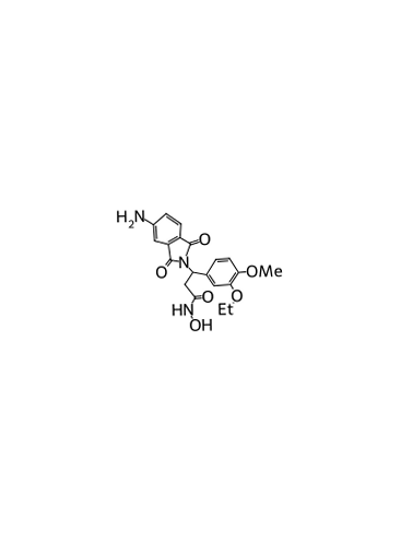 CCOc1cc(C(CC(=O)NO)N2C(=O)c3ccc(N)cc3C2=O)ccc1OC